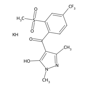 Cc1nn(C)c(O)c1C(=O)c1ccc(C(F)(F)F)cc1S(C)(=O)=O.[KH]